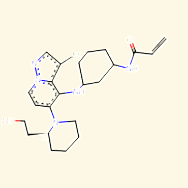 C=CC(=O)NC1CCCC(Nc2c(N3CCCC[C@H]3CCO)ccn3ncc(CC)c23)C1